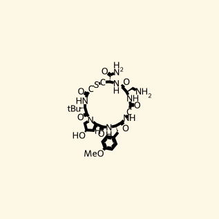 COc1ccc(C[C@@H]2NC(=O)[C@@H]3C[C@@H](O)CN3C(=O)[C@H](C(C)(C)C)NC(=O)CSC[C@H](C(N)=O)NC(=O)[C@@H](CN)NC(=O)CNC2=O)cc1